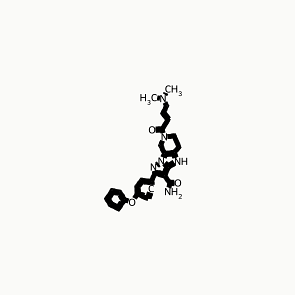 CN(C)C/C=C/C(=O)N1CCc2[nH]c3c(C(N)=O)c(-c4ccc(Oc5ccccc5)cc4)nn3c2C1